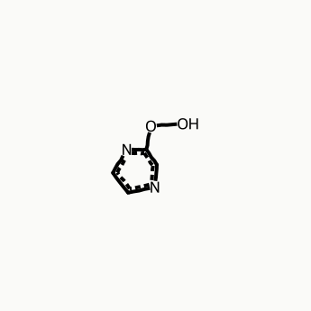 OOc1cnccn1